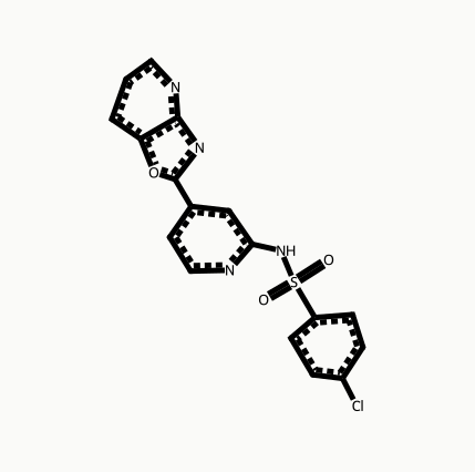 O=S(=O)(Nc1cc(-c2nc3ncccc3o2)ccn1)c1ccc(Cl)cc1